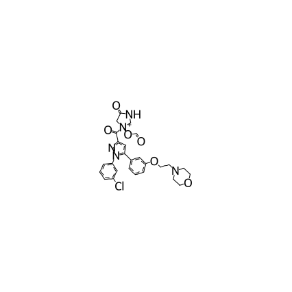 O=CO[N+]1(C(=O)c2cc(-c3cccc(OCCN4CCOCC4)c3)n(-c3cccc(Cl)c3)n2)CNC(=O)C1